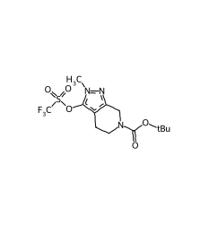 Cn1nc2c(c1OS(=O)(=O)C(F)(F)F)CCN(C(=O)OC(C)(C)C)C2